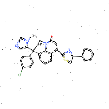 CC(=O)NC(c1ccc(Cl)cc1)(c1cccc2c(-c3nc(-c4ccccc4)cs3)cc(=O)n(C)c12)c1cncn1C